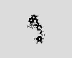 COc1ccc2ncc(Cl)c(CCCC3(CC(=O)O)CCN(CCNc4cc(F)c(F)c(F)c4)CC3)c2c1